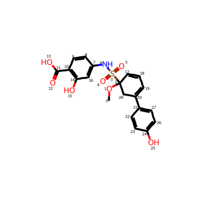 COC1(S(=O)(=O)Nc2ccc(C(=O)O)c(O)c2)C=CC=C(c2ccc(O)cc2)C1